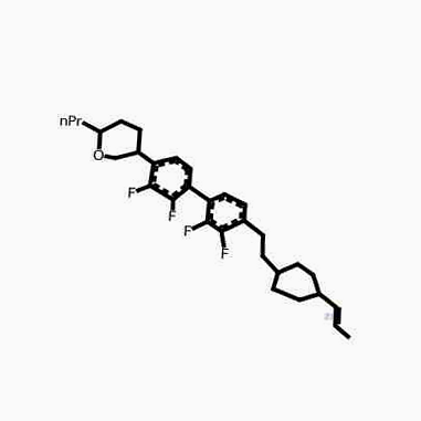 C/C=C/C1CCC(CCc2ccc(-c3ccc(C4CCC(CCC)OC4)c(F)c3F)c(F)c2F)CC1